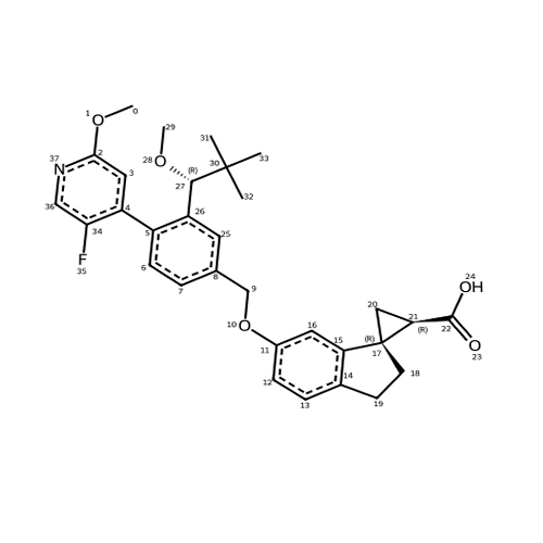 COc1cc(-c2ccc(COc3ccc4c(c3)[C@]3(CC4)C[C@H]3C(=O)O)cc2[C@H](OC)C(C)(C)C)c(F)cn1